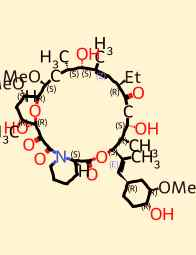 CC[C@@H]1/C=C(/C)[C@@H](O)[C@@H](C)C[C@H](OC)[C@H]2O[C@@](O)(C(=O)C(=O)N3CCCC[C@H]3C(=O)O[C@H](/C(C)=C/[C@@H]3CC[C@@H](O)[C@H](OC)C3)[C@H](C)[C@@H](O)CC1=O)[C@H](C)C[C@@H]2OC